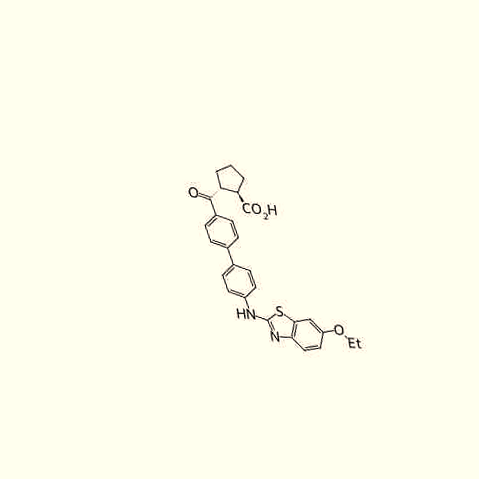 CCOc1ccc2nc(Nc3ccc(-c4ccc(C(=O)[C@@H]5CCC[C@H]5C(=O)O)cc4)cc3)sc2c1